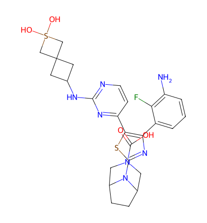 Nc1cccc(-c2nc(N3C4CCC3CN(C(=O)O)C4)sc2-c2ccnc(NC3CC4(C3)CS(O)(O)C4)n2)c1F